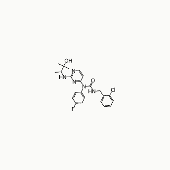 CC(Nc1nccc(N(C(=O)NCc2ccccc2Cl)c2ccc(F)cc2)n1)C(C)(C)O